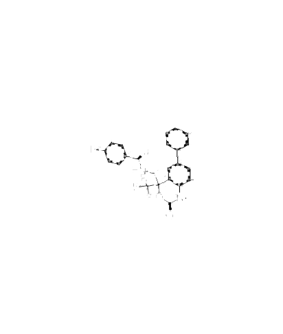 O=C1Nc2ccc(-c3ccccc3)cc2C(CNC(=O)c2ccc(F)cc2)(C(F)(F)F)O1